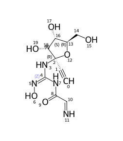 C#C[C@@]1(N/C(=N/O)NC(=O)C=N)O[C@H](CO)[C@@H](O)[C@H]1O